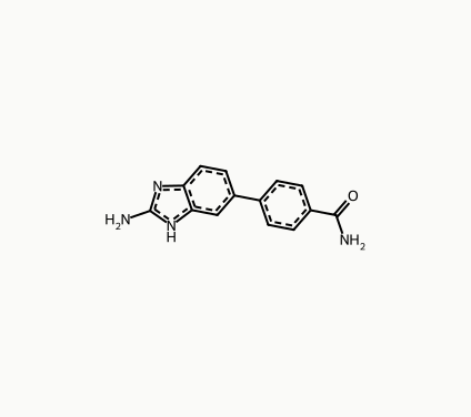 NC(=O)c1ccc(-c2ccc3nc(N)[nH]c3c2)cc1